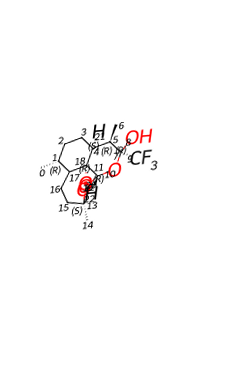 C[C@@H]1CC[C@H]2[C@@H](C)[C@](O)(C(F)(F)F)O[C@@H]3O[C@]4(C)CCC1[C@]32OO4